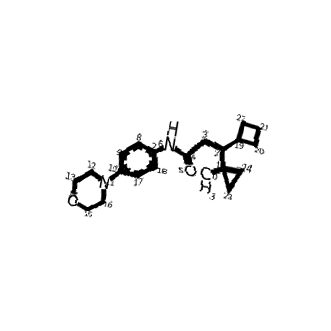 CC1(C(CC(=O)Nc2ccc(N3CCOCC3)cc2)C2CCC2)CC1